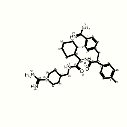 Cc1ccc(C(Cc2ccc(C(=N)N)cc2)C(=O)N[C@H](C(=O)NCC2CCN(C(=N)N)CC2)C2CCCCC2)cc1